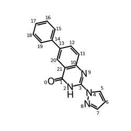 O=c1[nH]c(-n2cccn2)nc2ccc(-c3ccccc3)cc12